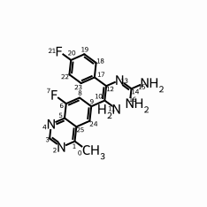 Cc1ncnc2c(F)cc(/C(N)=C(/N=C(N)N)c3ccc(F)cc3)cc12